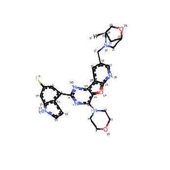 Fc1cc(-c2nc(N3CCOCC3)c3oc4ncc(CN5CC6C[C@H]5CO6)cc4c3n2)c2cc[nH]c2c1